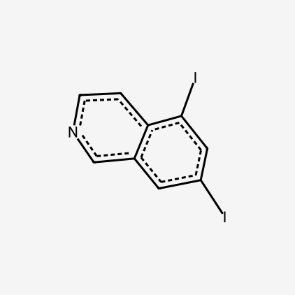 Ic1cc(I)c2ccncc2c1